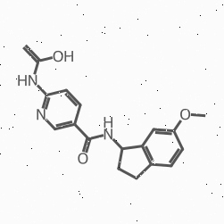 C=C(O)Nc1ccc(C(=O)NC2CCc3ccc(OC)cc32)cn1